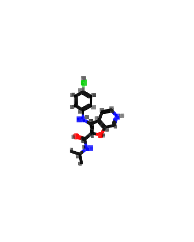 CC(C)NC(=O)c1oc2cnccc2c1Nc1ccc(Cl)cc1